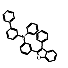 c1ccc(-c2cccc(N(c3ccccc3)c3cccc(-c4oc5ccccc5c4-c4ccccc4)c3)c2)cc1